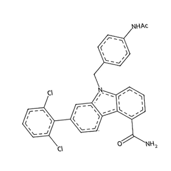 CC(=O)Nc1ccc(Cn2c3cc(-c4c(Cl)cccc4Cl)c[c]c3c3c(C(N)=O)cccc32)cc1